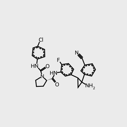 N#Cc1cccc(C2(N)CC2c2ccc(F)c(NC(=O)[C@@H]3CCCN3C(=O)Nc3ccc(Cl)cc3)c2)c1